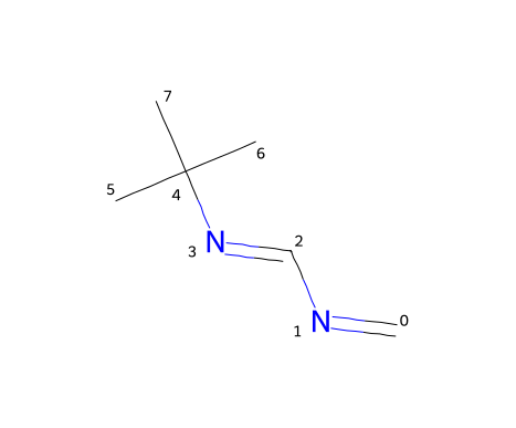 C=NC=NC(C)(C)C